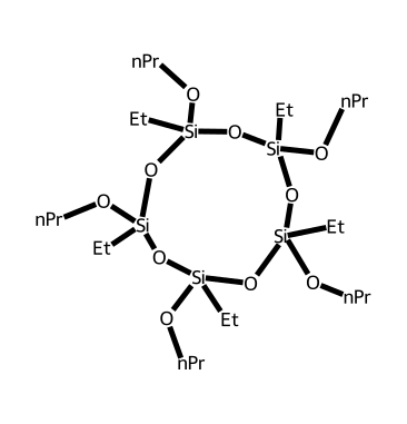 CCCO[Si]1(CC)O[Si](CC)(OCCC)O[Si](CC)(OCCC)O[Si](CC)(OCCC)O[Si](CC)(OCCC)O1